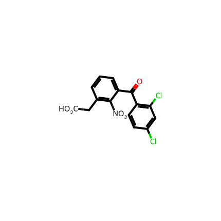 O=C(O)Cc1cccc(C(=O)c2ccc(Cl)cc2Cl)c1[N+](=O)[O-]